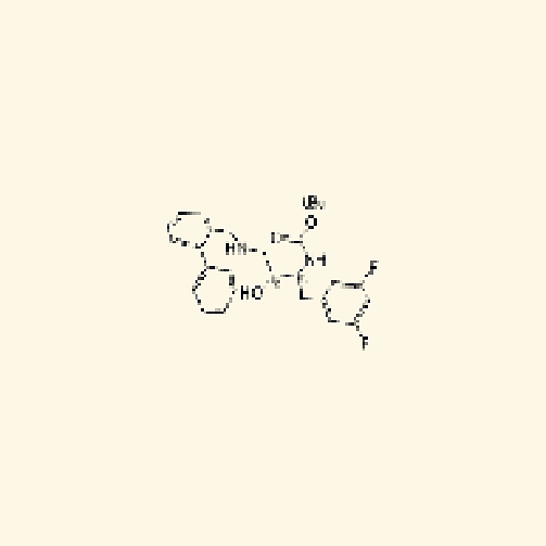 CC(C)(C)OC(=O)N[C@@H](Cc1cc(F)cc(F)c1)[C@H](O)CNCc1ccccc1-c1ccccc1